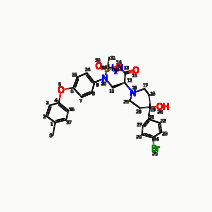 Cc1ccc(Oc2ccc(N(C[C@@H](C(N)=O)N3CCC(O)(c4ccc(Br)cc4)CC3)S(C)(=O)=O)cc2)cc1